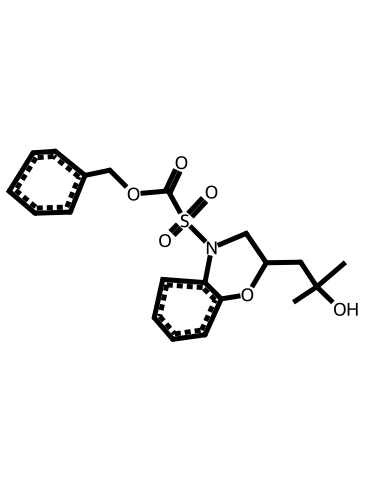 CC(C)(O)CC1CN(S(=O)(=O)C(=O)OCc2ccccc2)c2ccccc2O1